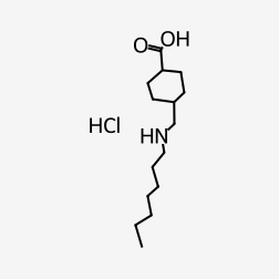 CCCCCCCNCC1CCC(C(=O)O)CC1.Cl